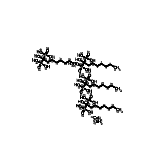 CCCCCCCC(O)(P(=O)(O)O)P(=O)(O)O.CCCCCCCC(O)(P(=O)(O)O)P(=O)(O)O.CCCCCCCC(O)(P(=O)(O)O)P(=O)(O)O.CCCCCCCC(O)(P(=O)(O)O)P(=O)(O)O.[CaH2].[CaH2]